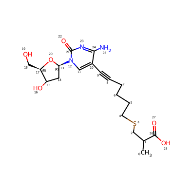 CC(CSCCCCC#Cc1cn([C@H]2CC(O)[C@@H](CO)O2)c(=O)nc1N)C(=O)O